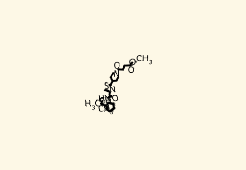 CCOC(=O)CCC(=O)N1CCC(c2nc(C(=O)Nc3ccccc3C(C)(C)C)cs2)CC1